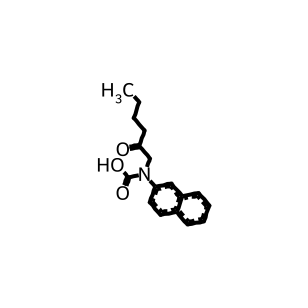 CCCCC(=O)CN(C(=O)O)c1ccc2ccccc2c1